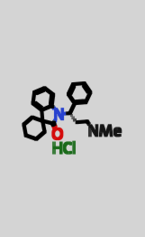 CNCC[C@@H](c1ccccc1)N1C(=O)C2(CCCCC2)c2ccccc21.Cl